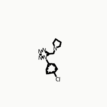 Clc1ccc(-n2nnnc2CN2CCCC2)cc1